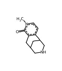 Cn1ccc2c(c1=O)CC1CNCC2C1